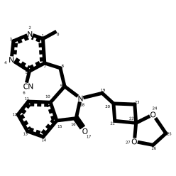 Cc1ncnc(C#N)c1CC1c2ccccc2C(=O)N1CC1CC2(C1)OCCO2